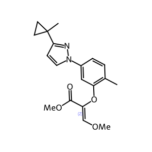 CO/C=C(\Oc1cc(-n2ccc(C3(C)CC3)n2)ccc1C)C(=O)OC